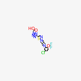 O=C(O)Cn1nnc(-c2cnc(N3CC4CN(c5cc(Cl)ccc5OC(F)F)CC4C3)s2)n1